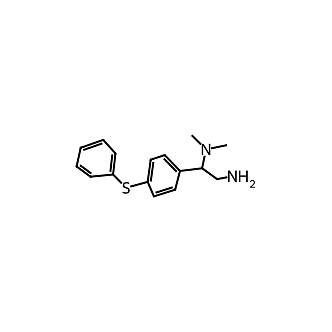 CN(C)C(CN)c1ccc(Sc2ccccc2)cc1